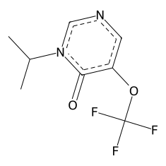 CC(C)n1cncc(OC(F)(F)F)c1=O